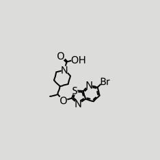 CC(Oc1nc2ccc(Br)nc2s1)C1CCN(C(=O)O)CC1